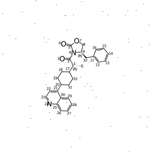 C[C@@H](C(=O)N1C(=O)OC[C@H]1Cc1ccccc1)C1CCC(c2ccnc3ccccc23)CC1